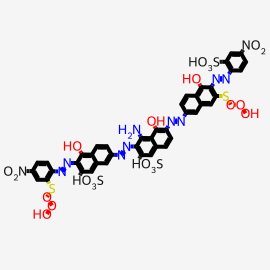 Nc1c(N=Nc2ccc3c(O)c(N=Nc4ccc([N+](=O)[O-])cc4SOOO)c(S(=O)(=O)O)cc3c2)c(S(=O)(=O)O)cc2ccc(N=Nc3ccc4c(O)c(N=Nc5ccc([N+](=O)[O-])cc5S(=O)(=O)O)c(SOOO)cc4c3)c(O)c12